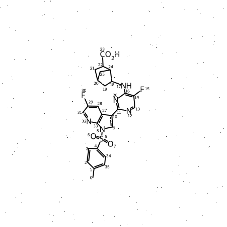 Cc1ccc(S(=O)(=O)n2cc(-c3ncc(F)c(NC4CC5CC(C(=O)O)C4C5)n3)c3cc(F)cnc32)cc1